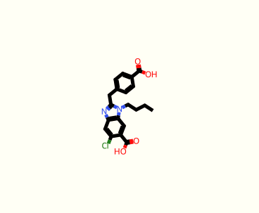 CCCCn1c(Cc2ccc(C(=O)O)cc2)nc2cc(Cl)c(C(=O)O)cc21